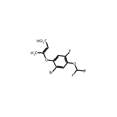 CC(=CC(=O)O)Oc1cc(F)c(OC(F)F)cc1Br